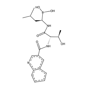 CC(C)C[C@H](NC(=O)[C@@H](NC(=O)c1cnc2ccccc2c1)[C@@H](C)O)B(O)O